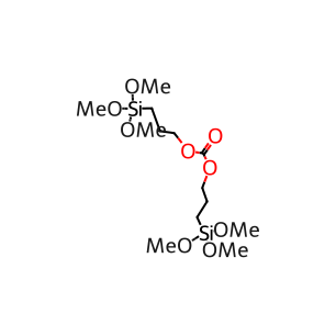 CO[Si](CCCOC(=O)OCCC[Si](OC)(OC)OC)(OC)OC